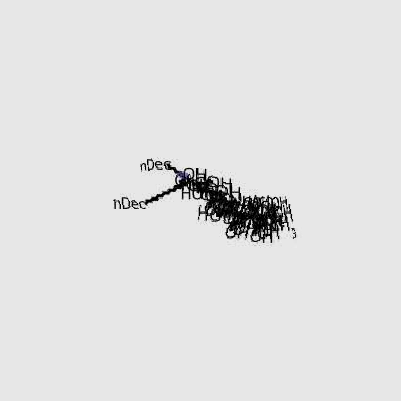 CCCCCCCCCCCCC/C=C/[C@@H](O)[C@H](CO[C@@H]1OC(CO)[C@@H](O[C@@H]2OC(CO)[C@H](O)[C@H](O[C@@H]3OC(CO)[C@@H](O)[C@H](O[C@@H]4OC(CO)[C@H](O)[C@H](O[C@@H]5OC(CO)[C@@H](O)[C@H](O[C@@H]6OC(CO)[C@H](O)[C@H](O)C6O[C@H]6OC(C)[C@@H](O)C(O)[C@@H]6O)C5NC(C)=O)C4O)C3NC(C)=O)C2O)[C@H](O)C1O)NC(=O)CCCCCCCCCCCCCCCCCCCCCCC